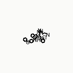 N#CCCn1nnnc1C(COc1ccccc1Cl)N(CC(=O)Nc1ccc(Oc2ccccc2)cc1)Cc1ccccc1